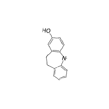 Oc1ccc2c(c1)CCc1ccccc1[N]2